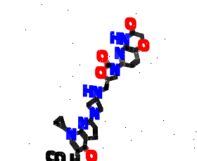 O=C1COc2ccc(N3C[C@@H](CNC4CN(c5ccc6c(=O)c(C(=O)O)cn(C7CC7)c6n5)C4)OC3=O)nc2N1